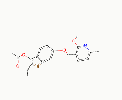 CCc1sc2cc(OCc3ccc(C)nc3OC)ccc2c1OC(C)=O